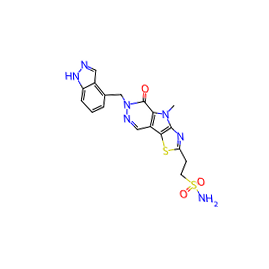 Cn1c2nc(CCS(N)(=O)=O)sc2c2cnn(Cc3cccc4[nH]ncc34)c(=O)c21